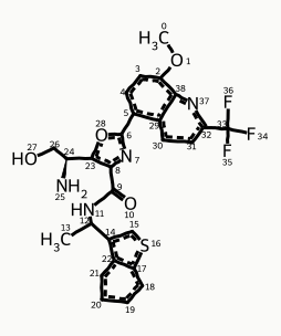 COc1ccc(-c2nc(C(=O)NC(C)c3csc4ccccc34)c([C@@H](N)CO)o2)c2ccc(C(F)(F)F)nc12